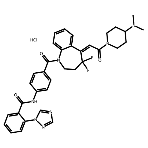 CN(C)C1CCN(C(=O)/C=C2/c3ccccc3N(C(=O)c3ccc(NC(=O)c4ccccc4-n4cncn4)cc3)CCC2(F)F)CC1.Cl